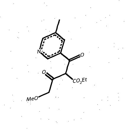 CCOC(=O)C(C(=O)COC)C(=O)c1cncc(C)c1